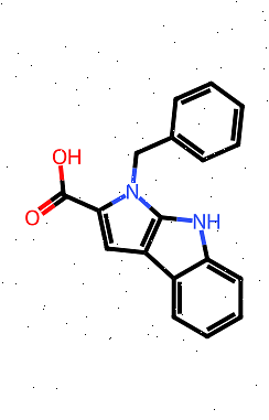 O=C(O)c1cc2c3ccccc3[nH]c2n1Cc1ccccc1